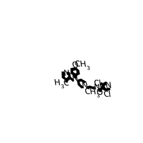 COc1ccc(N(Cc2cnccc2C)C2CCN([C@H](C)CCNC(=O)c3c(Cl)cncc3Cl)CC2)cc1